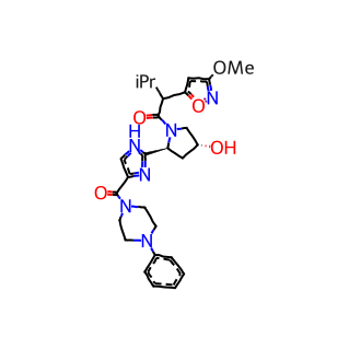 COc1cc(C(C(=O)N2C[C@H](O)C[C@H]2c2nc(C(=O)N3CCN(c4ccccc4)CC3)c[nH]2)C(C)C)on1